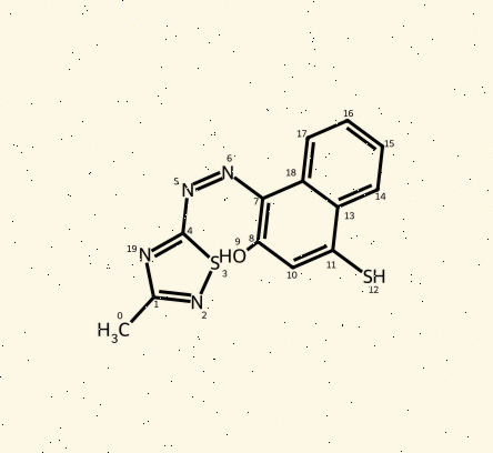 Cc1nsc(/N=N\c2c(O)cc(S)c3ccccc23)n1